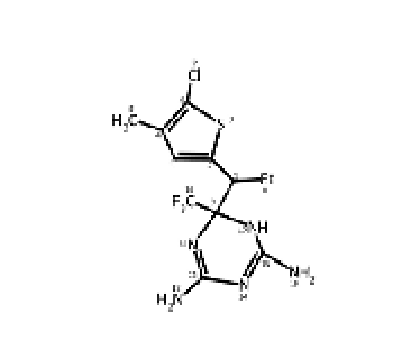 CCC(c1cc(C)c(Cl)s1)C1(C(F)(F)F)N=C(N)N=C(N)N1